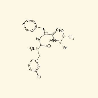 CC(C)[C@H](NC(=O)[C@H](Cc1ccccc1)NC(=O)[C@@H](N)Cc1cccc(Cl)c1)[C@H](O)C(F)(F)F